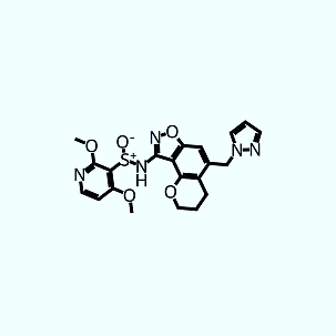 COc1ccnc(OC)c1[S+]([O-])Nc1noc2cc(Cn3cccn3)c3c(c12)OCCC3